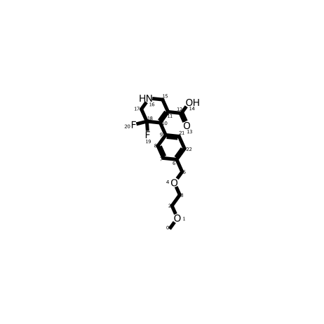 COCCOCc1ccc(C2=C(C(=O)O)CNCC2(F)F)cc1